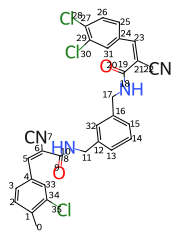 Cc1ccc(/C=C(/C#N)C(=O)NCc2cccc(CNC(=O)/C(C#N)=C\c3ccc(Cl)c(Cl)c3)c2)cc1Cl